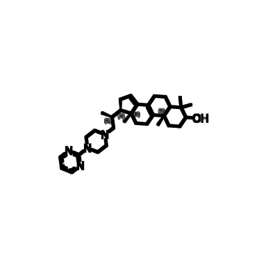 C[C@H](CN1CCN(c2ncccn2)CC1)[C@H]1CC=C2C3=C(CC[C@@]21C)[C@@]1(C)CCC(O)C(C)(C)C1CC3